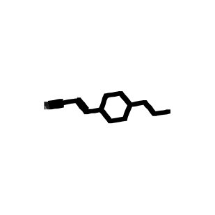 CCCC1CCC(C=CC#N)CC1